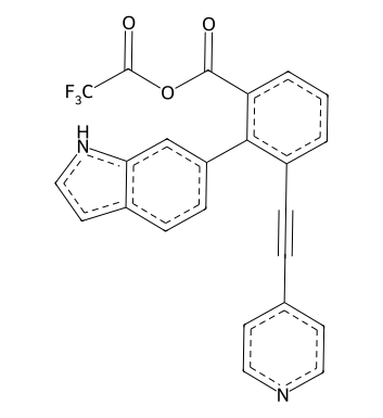 O=C(OC(=O)C(F)(F)F)c1cccc(C#Cc2ccncc2)c1-c1ccc2cc[nH]c2c1